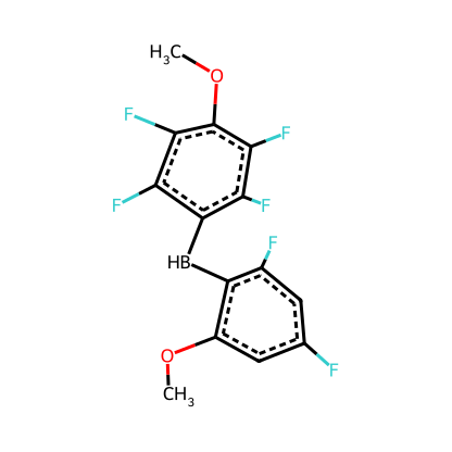 COc1cc(F)cc(F)c1Bc1c(F)c(F)c(OC)c(F)c1F